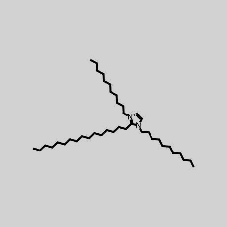 CCCCCCCCCCCCCCCCc1n(CCCCCCCCCCC)cc[n+]1CCCCCCCCCCC